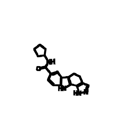 O=C(NC1CCCC1)c1ccc2[nH]c3c(c2c1)CCc1cn[nH]c1-3